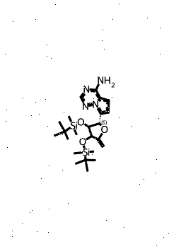 C=C1O[C@@H](c2ccc3c(N)ncnn23)C(O[Si](C)(C)C(C)(C)C)C1O[Si](C)(C)C(C)(C)C